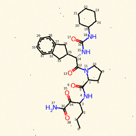 CCCC(NC(=O)[C@@H]1CCCN1C(=O)[C@@H](NC(=O)NC1CCCCC1)C1Cc2ccccc2C1)C(=O)C(N)=O